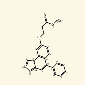 CCCCCCCCOC(=O)CCSc1ccc2c(-c3ccccc3)cc3nncn3c2c1